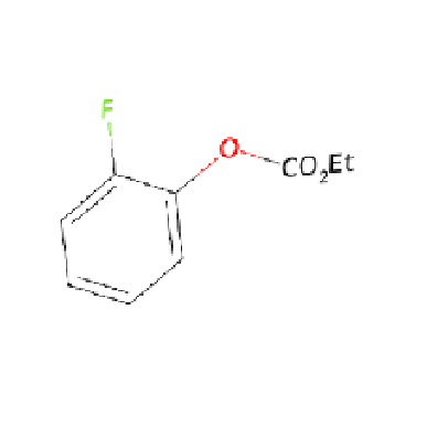 CCOC(=O)Oc1ccccc1F